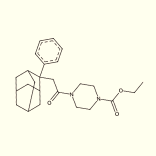 CCOC(=O)N1CCN(C(=O)CC2(c3ccccc3)C3CC4CC(C3)CC2C4)CC1